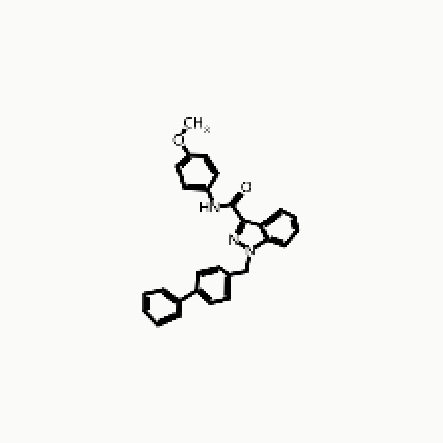 COc1ccc(NC(=O)c2nn(Cc3ccc(-c4ccccc4)cc3)c3ccccc23)cc1